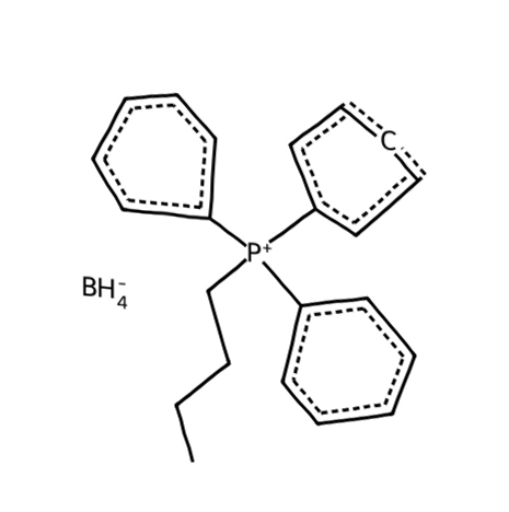 CCCC[P+](c1ccccc1)(c1ccccc1)c1ccccc1.[BH4-]